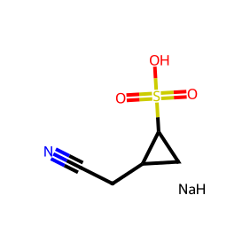 N#CCC1CC1S(=O)(=O)O.[NaH]